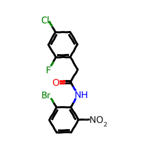 O=C(Cc1ccc(Cl)cc1F)Nc1c(Br)cccc1[N+](=O)[O-]